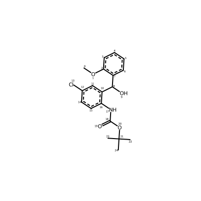 COc1ccccc1C(O)c1cc(Cl)ccc1NC(=O)OC(C)(C)C